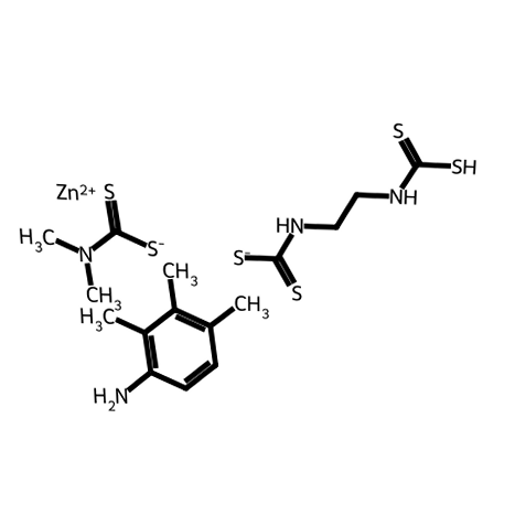 CN(C)C(=S)[S-].Cc1ccc(N)c(C)c1C.S=C([S-])NCCNC(=S)S.[Zn+2]